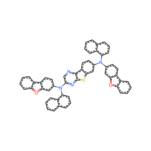 c1ccc2c(N(c3ccc4c(c3)oc3ccccc34)c3ccc4c(c3)sc3nc(N(c5ccc6c(c5)oc5ccccc56)c5cccc6ccccc56)cnc34)cccc2c1